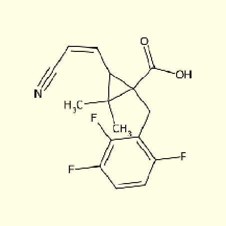 CC1(C)C(/C=C\C#N)C1(Cc1c(F)ccc(F)c1F)C(=O)O